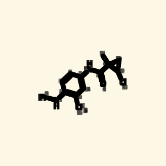 CC(C)Nc1ccc(NC(=O)C2(C)CC2Cl)cc1C(F)(F)F